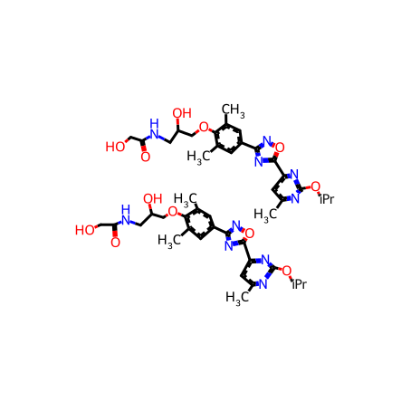 Cc1cc(-c2nc(-c3cc(C)c(OCC(O)CNC(=O)CO)c(C)c3)no2)nc(OC(C)C)n1.Cc1cc(-c2nc(-c3cc(C)c(OCC(O)CNC(=O)CO)c(C)c3)no2)nc(OC(C)C)n1